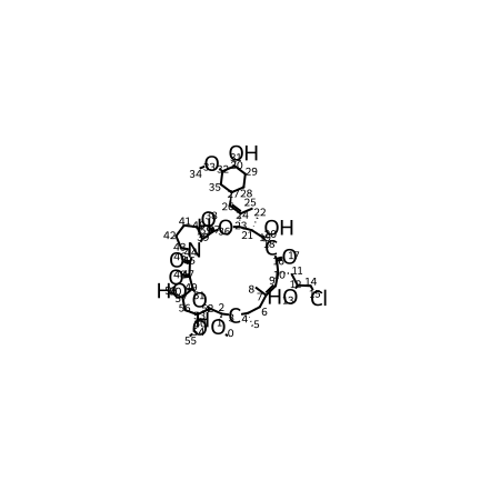 CO[C@H]1C[C@@H](C)C/C(C)=C/[C@@H](CC(O)CCl)C(=O)C[C@H](O)[C@@H](C)[C@@H](/C(C)=C/[C@@H]2CC[C@@H](O)[C@H](OC)C2)OC(=O)[C@@H]2CCCCN2C(=O)C(=O)[C@]2(O)O[C@H]1[C@@H](OC)C[C@H]2C